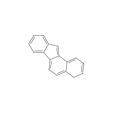 C1=CCc2ccc3c(c2=C1)=Cc1ccccc1-3